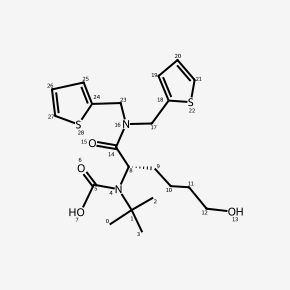 CC(C)(C)N(C(=O)O)[C@@H](CCCCO)C(=O)N(Cc1cccs1)Cc1cccs1